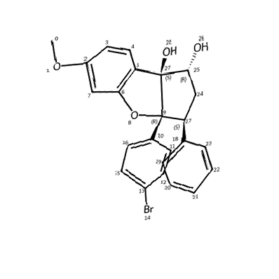 COc1ccc2c(c1)O[C@@]1(c3ccc(Br)cc3)[C@H](c3ccccc3)C[C@@H](O)[C@@]21O